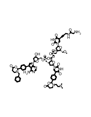 COC[C@H]1O[C@@H](n2cc(C#CCNC(=O)CN)c(=O)[nH]c2=O)C[C@@H]1CP(=O)(O)OC[C@H]1O[C@@H](n2cc(-c3ccc(C4OC(=O)CCN4CCN(C)C)cc3)c(=O)[nH]c2=O)C[C@@H]1CP(=O)(O)OC[C@H]1O[C@@H](n2cc(-c3ccc(C4OC(=O)CCN4Cc4ccccc4)cc3)c3c(N)ncnc32)C[C@@H]1O